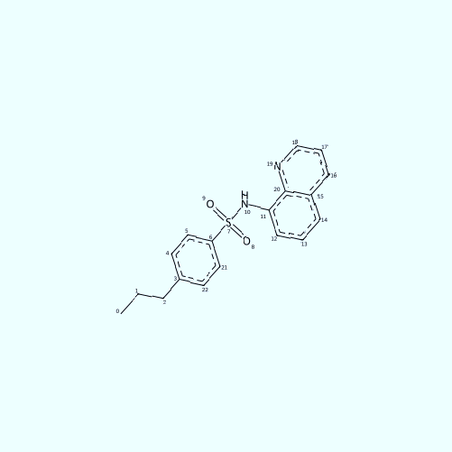 CCCc1ccc(S(=O)(=O)Nc2cccc3cccnc23)cc1